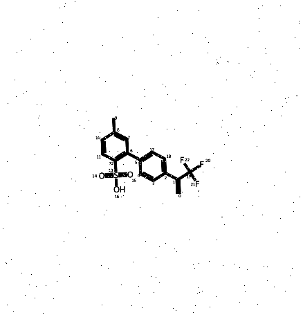 C=C(c1ccc(-c2cc(C)ccc2S(=O)(=O)O)cc1)C(F)(F)F